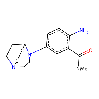 CNC(=O)c1cc(N2CCN3CCC2CC3)ccc1N